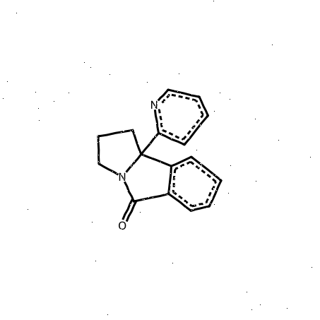 O=C1c2ccccc2C2(c3ccccn3)CCCN12